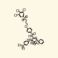 CCN(CC)c1ccc(NC2(NC(C)=O)C(=O)N(c3ccccc3)N=C2NC(=O)c2ccc(OCCCS(=O)(=O)c3cc(Cl)c(Cl)c(Cl)c3)cc2)cc1